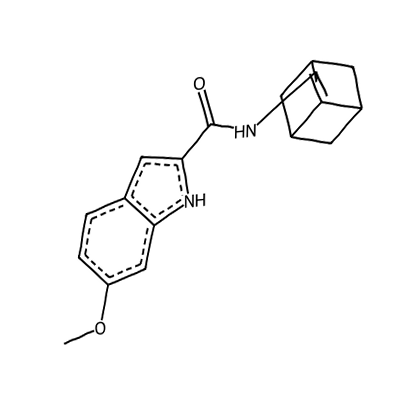 COc1ccc2cc(C(=O)NC3=C4C5CC(C3)CC4C5)[nH]c2c1